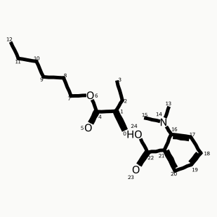 C=C(CC)C(=O)OCCCCCC.CN(C)c1ccccc1C(=O)O